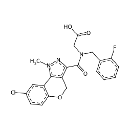 Cn1nc(C(=O)N(CC(=O)O)Cc2ccccc2F)c2c1-c1cc(Cl)ccc1OC2